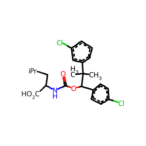 CC(C)CC(NC(=O)OC(c1ccc(Cl)cc1)C(C)(C)c1cccc(Cl)c1)C(=O)O